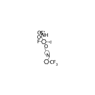 C[S+]([O-])NC(=O)c1cc(C2CC2)c(OCC2CCN(Cc3ccccc3C(F)(F)F)CC2)cc1F